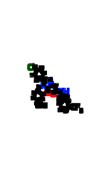 CC(C)(C)c1ccc(Cn2c(-c3ccc(Cl)cc3)nn(CC(=O)NC(C)(C)c3cccc(C(F)(F)F)c3)c2=O)cc1